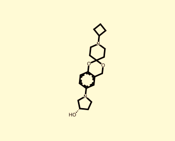 O[C@H]1CCN(c2ccc3c(c2)COC2(CCN(C4CCC4)CC2)O3)C1